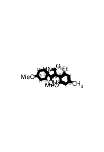 CCc1cc(C)cc(OC)c1C1=C(O)C2(CCC(OC)CC2)NC1=O